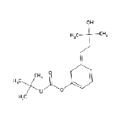 CC(C)(O)CC=C1C=CC=C(OC(=O)OC(C)(C)C)C1